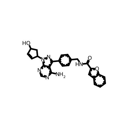 Nc1ncnc2c1c(-c1ccc(CNC(=O)c3cc4ccccc4o3)cc1)nn2C1C=CC(O)C1